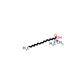 CCCCCCCCCCCCCCCCCCC(C(=O)O)N(CC)CC